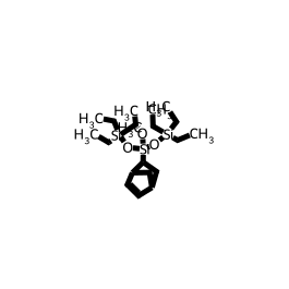 CC[Si](CC)(CC)O[Si](OC)(O[Si](CC)(CC)CC)C1CC2C=CC1C2